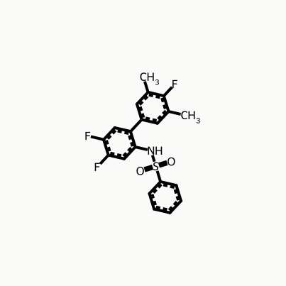 Cc1cc(-c2cc(F)c(F)cc2NS(=O)(=O)c2ccccc2)cc(C)c1F